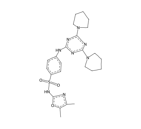 Cc1nc(NS(=O)(=O)c2ccc(Nc3nc(N4CCCCC4)nc(N4CCCCC4)n3)cc2)oc1C